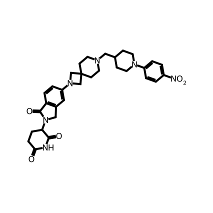 O=C1CCC(N2Cc3cc(N4CC5(CCN(CC6CCN(c7ccc([N+](=O)[O-])cc7)CC6)CC5)C4)ccc3C2=O)C(=O)N1